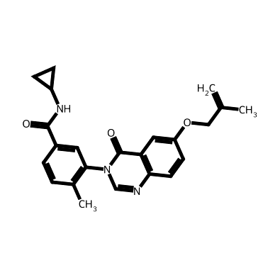 C=C(C)COc1ccc2ncn(-c3cc(C(=O)NC4CC4)ccc3C)c(=O)c2c1